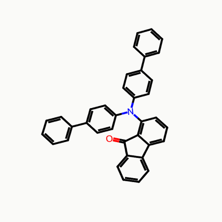 O=C1c2ccccc2-c2cccc(N(c3ccc(-c4ccccc4)cc3)c3ccc(-c4ccccc4)cc3)c21